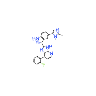 Cc1ncc(-c2ccc3[nH]nc(-c4nc5c(-c6ccccc6F)ccnc5[nH]4)c3c2)n1C